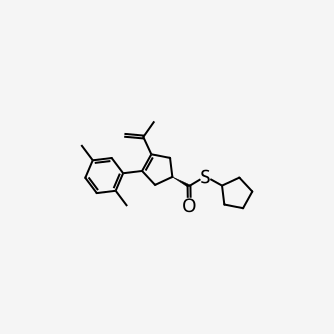 C=C(C)C1=C(c2cc(C)ccc2C)C[C@H](C(=O)SC2CCCC2)C1